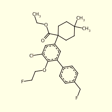 CCOC(=O)C1(c2cc(Cl)c(OCCF)c(-c3ccc(CF)cc3)c2)CCC(C)(C)CC1